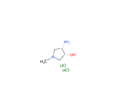 CN1C[C@@H](O)[C@@H](N)C1.Cl.Cl